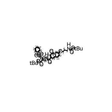 CC(C)(C)OC(=O)NCCCOc1ccc2cc(C(=O)NC[C@H](NCS(=O)(=O)c3ccccc3)C(=O)OC(C)(C)C)cc(=O)n2c1